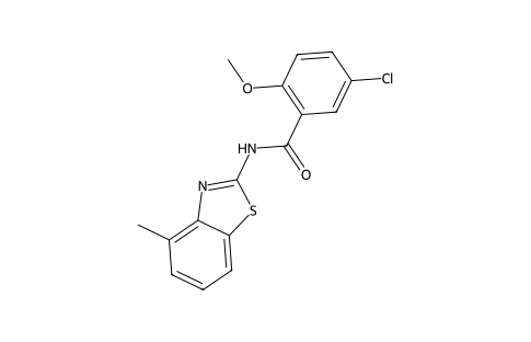 COc1ccc(Cl)cc1C(=O)Nc1nc2c(C)cccc2s1